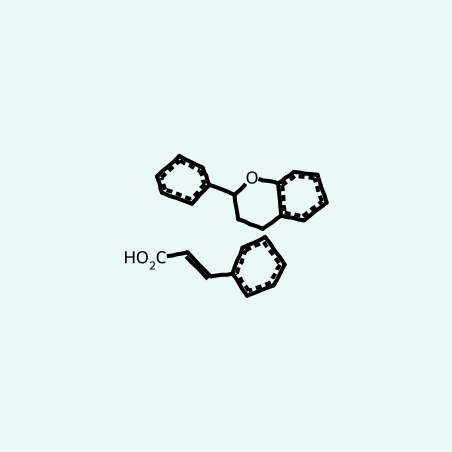 O=C(O)C=Cc1ccccc1.c1ccc(C2CCc3ccccc3O2)cc1